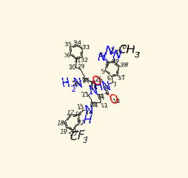 Cn1nnc2cc(CNC(=O)[C@@H]3C[C@H](NCc4cccc(C(F)(F)F)c4)CN3C(=O)[C@H](N)CCc3ccccc3)ccc21